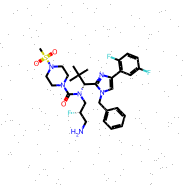 CC(C)(C)[C@H](c1nc(-c2cc(F)ccc2F)cn1Cc1ccccc1)N(C[C@@H](F)CN)C(=O)N1CCN(S(C)(=O)=O)CC1